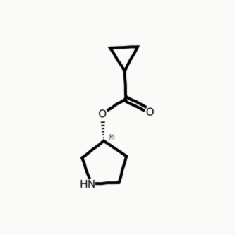 O=C(O[C@@H]1CCNC1)C1CC1